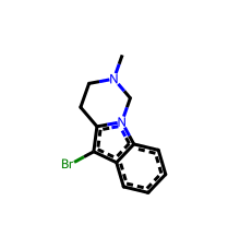 CN1CCc2c(Br)c3ccccc3n2C1